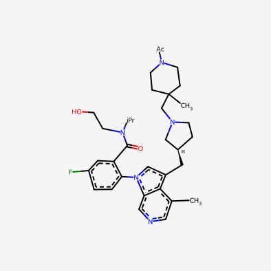 CC(=O)N1CCC(C)(CN2CC[C@@H](Cc3cn(-c4ccc(F)cc4C(=O)N(CCO)C(C)C)c4cncc(C)c34)C2)CC1